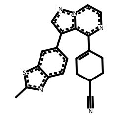 Cc1nc2ccc(-c3cnn4ccnc(C5=CCC(C#N)CC5)c34)cc2s1